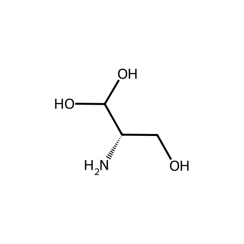 N[C@@H](CO)C(O)O